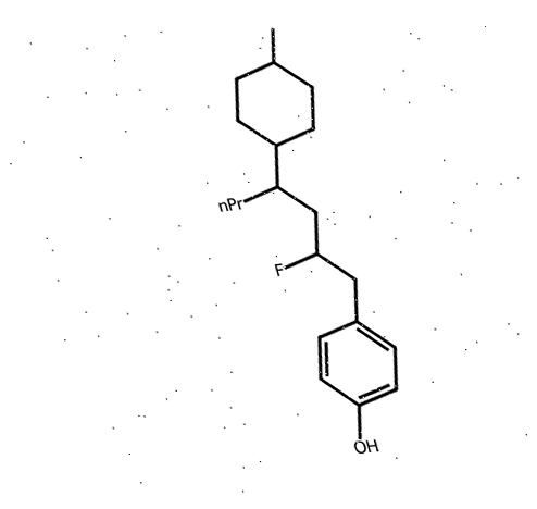 CCCC1CCC(C(CCC)CC(F)Cc2ccc(O)cc2)CC1